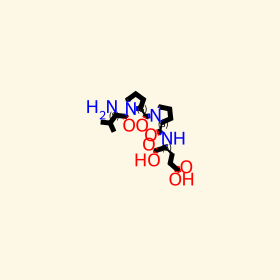 CC(C)[C@H](N)C(=O)N1CCC[C@H]1C(=O)N1CCC[C@H]1C(=O)N[C@@H](CCC(=O)O)C(=O)O